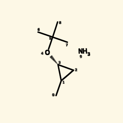 CC1C[C@H]1OC(C)(C)C.N